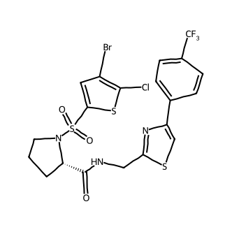 O=C(NCc1nc(-c2ccc(C(F)(F)F)cc2)cs1)[C@@H]1CCCN1S(=O)(=O)c1cc(Br)c(Cl)s1